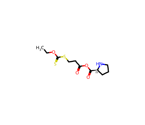 CCOC(=S)SCCC(=O)OC(=O)[C@@H]1CCCN1